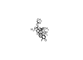 CCC(=O)OCC(=O)[C@@]1(OC(=O)CC)[C@@H](C)C[C@H]2[C@@H]3CCC4=C(F)C(=O)C=C[C@]4(C)[C@@]3(Cl)[C@@H](O)C[C@@]21C